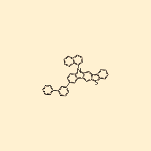 c1ccc(-c2cccc(-c3ccc4c(c3)c3cc5sc6ccccc6c5cc3n4-c3cccc4ccccc34)c2)cc1